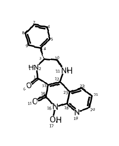 O=C1N[C@@H](c2ccccc2)CNc2c1c(=O)n(O)c1ncccc21